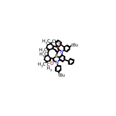 CC(C)(C)c1ccc(N2c3cc(-c4ccccc4)cc4c3B3c5cc6c(cc5N4c4ccc(C(C)(C)C)cc4-c4ccccc4)C(C)(C)CCC6(C)CC4(C)CCC(C)(C)c5oc2c3c54)cc1